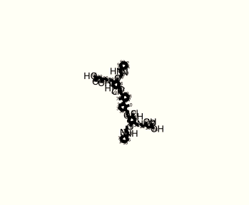 Cc1c(COc2cc(OCc3nc4ccccc4[nH]3)c(CNCC(O)CC(=O)O)cc2Cl)cccc1-c1cccc(COc2cc(OCc3nc4ccccc4[nH]3)c(CNCC(O)CC(=O)O)cc2Cl)c1C